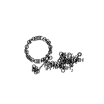 CC[C@H](C)[C@@H]([C@@H](CC(=O)N1CCC[C@H]1[C@H](OC)[C@@H](C)C(=O)N[C@H](C)[C@@H](O)c1ccccc1)OC)N(C)C(=O)[C@@H](NC(=O)[C@H](C(C)C)N(C)C(=O)OCc1ccc(NC(=O)[C@H](CCCNC(N)=O)NC(=O)[C@@H](NC(=O)CC[C@H](NC(=O)CCCCCCC(=O)ON2C(=O)CCC2=O)C(=O)N2CCOCCOCCOCCOCCOCCOCCOCCOCCOCCOCCOCCOCCOCC2)C(C)C)cc1)C(C)C